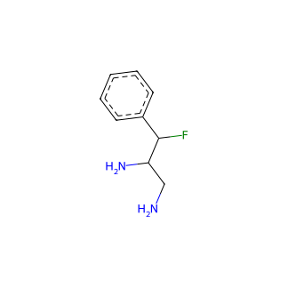 NCC(N)C(F)c1ccccc1